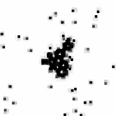 Cn1cc(-c2ccc(C(OC(C)(C)C)C(=O)O)c(-c3ccc4c(c3)CCCO4)c2)cn1